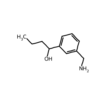 CCCC(O)c1cccc(CN)c1